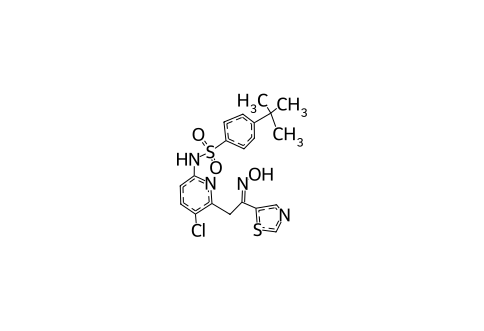 CC(C)(C)c1ccc(S(=O)(=O)Nc2ccc(Cl)c(CC(=NO)c3cncs3)n2)cc1